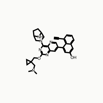 C#Cc1cccc2cc(O)cc(-c3cnc4c(N5CC6CCC(C5)N6)nc(OCC5(CN(C)C)CC5)nc4c3)c12